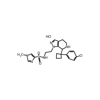 Cl.Cn1cnc(S(=O)(=O)NCCn2ncc3c2C(C2(c4ccc(Cl)cc4)CCC2)NCC3)c1